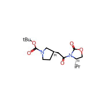 CC(C)[C@H]1COC(=O)N1C(=O)C[C@H]1CCN(C(=O)OC(C)(C)C)C1